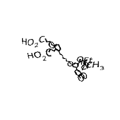 CCN(C(=O)c1cc(OCCCCCCc2cccc(OCCCC(=O)O)c2CCC(=O)O)cc(-c2ccc3c(c2)OCO3)c1)C1CCCN1C